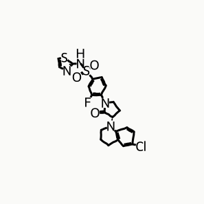 O=C1[C@@H](N2CCCc3cc(Cl)ccc32)CCN1c1ccc(S(=O)(=O)Nc2nccs2)cc1F